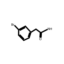 [NH]C(=O)Cc1cccc(Br)c1